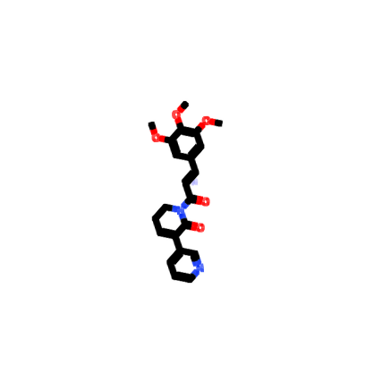 COc1cc(/C=C/C(=O)N2CCC=C(c3cccnc3)C2=O)cc(OC)c1OC